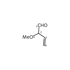 C=CC(C=O)OC